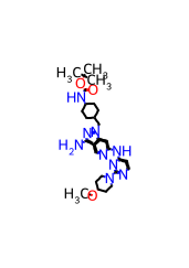 COC1CCN(c2nccc(Nc3cc4c(cn3)c(N)nn4CC3CCC(NC(=O)OC(C)(C)C)CC3)n2)CC1